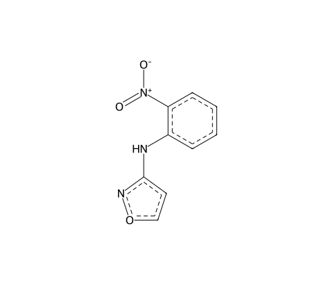 O=[N+]([O-])c1ccccc1Nc1ccon1